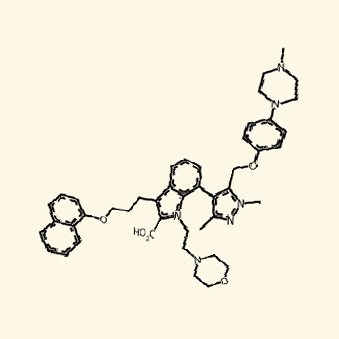 Cc1nn(C)c(COc2ccc(N3CCN(C)CC3)cc2)c1-c1cccc2c(CCCOc3cccc4ccccc34)c(C(=O)O)n(CCN3CCOCC3)c12